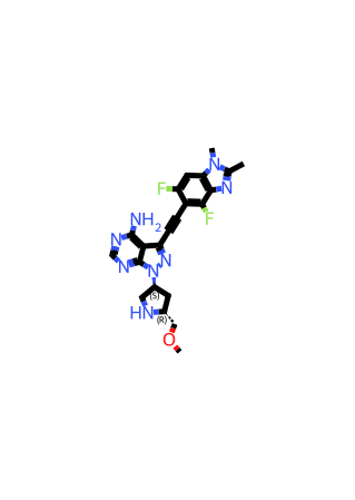 COC[C@H]1C[C@H](n2nc(C#Cc3c(F)cc4c(nc(C)n4C)c3F)c3c(N)ncnc32)CN1